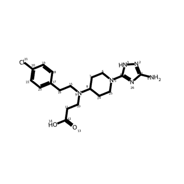 Nc1n[nH]c(N2CCC(N(CCC(=O)O)CCc3ccc(Cl)cc3)CC2)n1